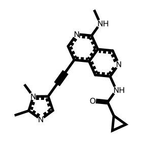 CNc1ncc(C#Cc2cnc(C)n2C)c2cc(NC(=O)C3CC3)ncc12